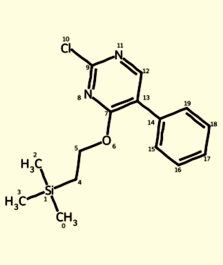 C[Si](C)(C)CCOc1nc(Cl)ncc1-c1ccccc1